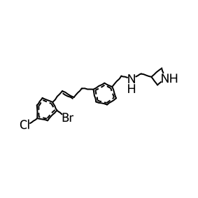 Clc1ccc(/C=C/Cc2cccc(CNCC3CNC3)c2)c(Br)c1